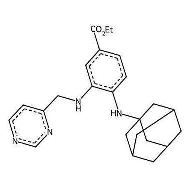 CCOC(=O)c1ccc(NC23CC4CC(CC(C4)C2)C3)c(NCc2ccncn2)c1